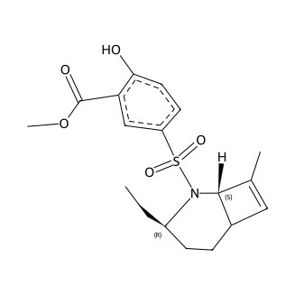 CC[C@@H]1CCC2C=C(C)[C@H]2N1S(=O)(=O)c1ccc(O)c(C(=O)OC)c1